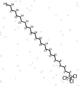 Cl[Si](Cl)(Cl)CCCCCCCCCCCCCCCCCCCCCCCCCI